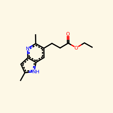 CCOC(=O)CCc1cc2[nH]c(C)cc2nc1C